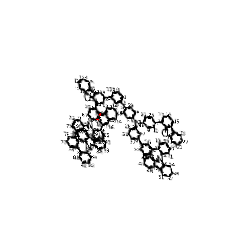 c1cc(-c2ccc(N(c3ccc(-c4cccc5c4oc4ccccc45)cc3)c3cccc(-c4cccc(-c5ccccc5-n5c6ccccc6c6ccccc65)c4)c3)cc2)cc(-c2cc(-c3ccc(N(c4cccc(-c5cccc(-c6ccccc6-n6c7ccccc7c7ccccc76)c5)c4)c4ccccc4-c4ccc5ccccc5c4)cc3)c3oc4ccccc4c3c2)c1